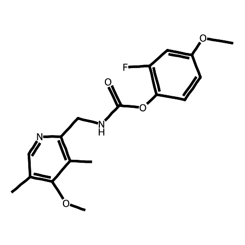 COc1ccc(OC(=O)NCc2ncc(C)c(OC)c2C)c(F)c1